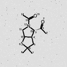 CC(=O)[C@@H]1C2CC(C)(C)SC2CN1C(C)=O